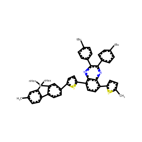 CCCCCC[Si]1(CCCCCC)c2cc(C)ccc2-c2ccc(-c3ccc(-c4ccc(-c5ccc(C)s5)c5nc(-c6ccc(C(C)(C)C)cc6)c(-c6ccc(C(C)(C)C)cc6)nc45)s3)cc21